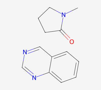 CN1CCCC1=O.c1ccc2ncncc2c1